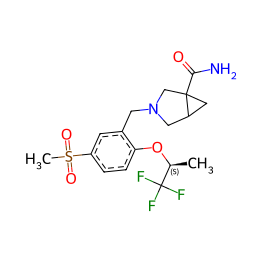 C[C@H](Oc1ccc(S(C)(=O)=O)cc1CN1CC2CC2(C(N)=O)C1)C(F)(F)F